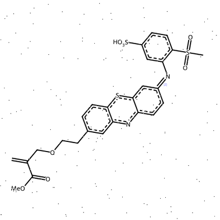 C=C(COCCc1ccc2sc3c/c(=N\c4cc(S(=O)(=O)O)ccc4S(C)(=O)=O)ccc-3nc2c1)C(=O)OC